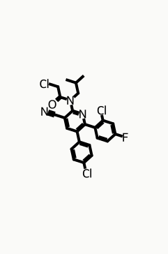 CC(C)CN(C(=O)CCl)c1nc(-c2ccc(F)cc2Cl)c(-c2ccc(Cl)cc2)cc1C#N